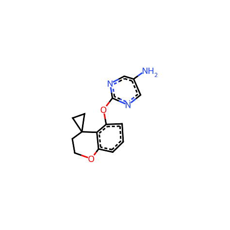 Nc1cnc(Oc2cccc3c2C2(CCO3)CC2)nc1